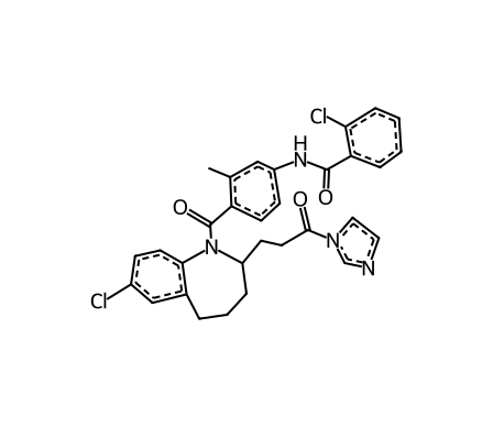 Cc1cc(NC(=O)c2ccccc2Cl)ccc1C(=O)N1c2ccc(Cl)cc2CCCC1CCC(=O)n1ccnc1